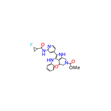 COC(=O)N1CC(=O)c2c([nH]c(-c3ccnc(NC(=O)C4C[C@@H]4F)c3)c2Nc2ccccc2)C1